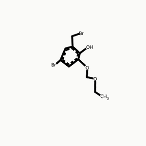 CCOCOc1cc(Br)cc(CBr)c1O